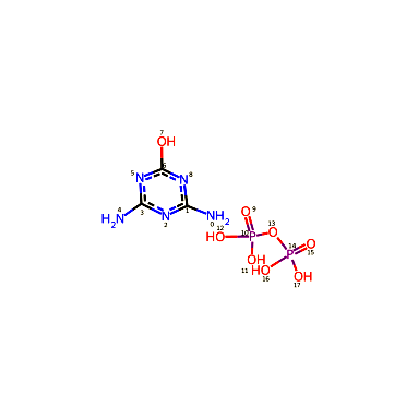 Nc1nc(N)nc(O)n1.O=P(O)(O)OP(=O)(O)O